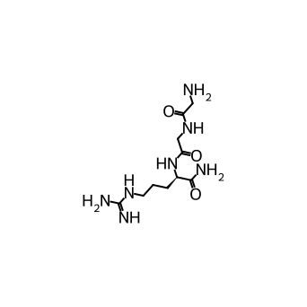 N=C(N)NCCC[C@@H](NC(=O)CNC(=O)CN)C(N)=O